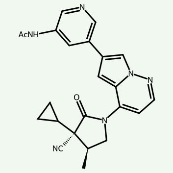 CC(=O)Nc1cncc(-c2cc3c(N4C[C@@H](C)[C@@](C#N)(C5CC5)C4=O)ccnn3c2)c1